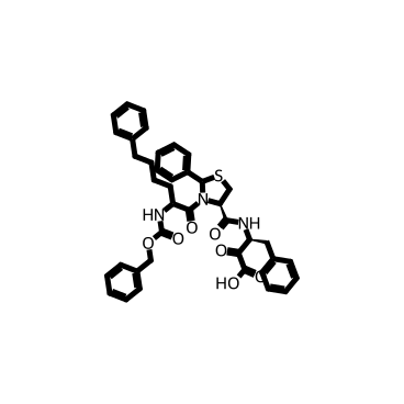 O=C(NC(CCCCc1ccccc1)C(=O)N1C(c2ccccc2)SC[C@H]1C(=O)N[C@@H](Cc1ccccc1)C(=O)C(=O)O)OCc1ccccc1